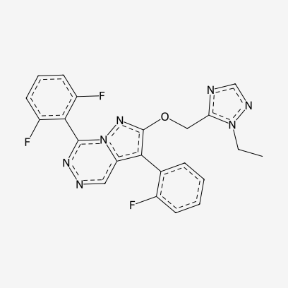 CCn1ncnc1COc1nn2c(-c3c(F)cccc3F)nncc2c1-c1ccccc1F